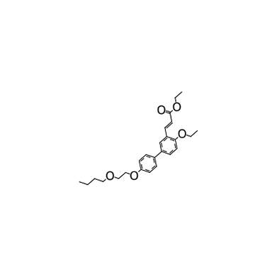 CCCCOCCOc1ccc(-c2ccc(OCC)c(/C=C/C(=O)OCC)c2)cc1